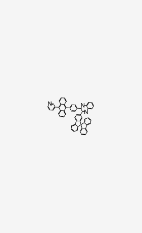 c1cncc(-c2c3ccccc3c(-c3ccc(-c4nc5ccccc5nc4-c4ccc5c(c4)C4(c6ccccc6-c6ccccc64)c4ccccc4-5)cc3)c3ccccc23)c1